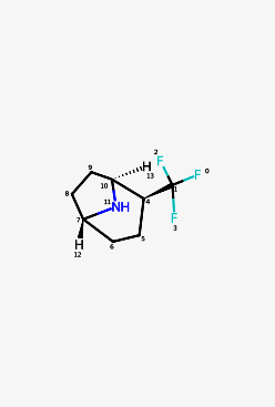 FC(F)(F)[C@H]1CC[C@@H]2CC[C@@H]1N2